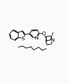 CC1C(Oc2ccc(-c3cc4ccccc4s3)cn2)C2CCN1CC2.CCCCCCCC